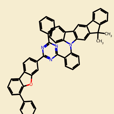 CC1(C)c2ccccc2-c2cc3c4ccccc4n(-c4ccccc4-c4nc(-c5ccccc5)nc(-c5ccc6c(c5)oc5c(-c7ccccc7)cccc56)n4)c3cc21